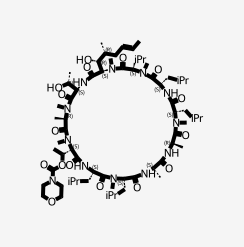 CC=CC[C@@H](C)[C@@H](O)[C@H]1C(=O)N[C@@H]([C@@H](C)O)C(=O)N(C)[C@H](C)C(=O)N(C)[C@@H](C(C)OC(=O)N2CCOCC2)C(=O)N[C@@H](CC(C)C)C(=O)N(C)[C@@H](CC(C)C)C(=O)N[C@@H](C)C(=O)N[C@H](C)C(=O)N(C)[C@@H](CC(C)C)C(=O)N[C@@H](CC(C)C)C(=O)N(C)[C@@H](C(C)C)C(=O)N1C